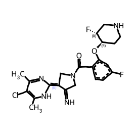 CC1=N/C(=C2\CN(C(=O)c3ccc(F)cc3O[C@@H]3CCNC[C@H]3F)CC2=N)NC(C)=C1Cl